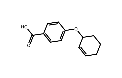 O=C(O)c1ccc(OC2C=CCCC2)cc1